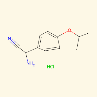 CC(C)Oc1ccc(C(N)C#N)cc1.Cl